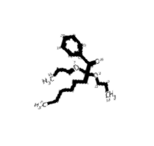 CCCCCCC(OCCC)(OCCC)C(=O)c1ccccc1